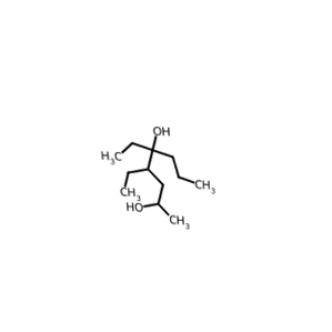 CCCC(O)(CC)C(CC)CC(C)O